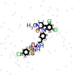 CN1CCc2c(n(-c3ccc(CCNC(=O)NS(=O)(=O)c4ccc(Cl)cc4)cc3)c3cc(Cl)cc(Cl)c23)C1=O